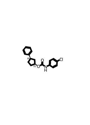 O=C(Nc1ccc(Cl)cc1)O[C@H]1CC[C@@H](c2ccccc2)C1